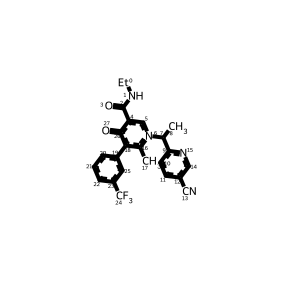 CCNC(=O)c1cn(C(C)c2ccc(C#N)cn2)c(C)c(-c2cccc(C(F)(F)F)c2)c1=O